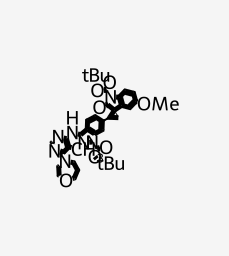 COc1ccc2c(c1)[C@]1(C[C@H]1c1ccc3c(Nc4ncnc(N5CCCOCC5)c4C)nn(C(=O)OC(C)(C)C)c3c1)C(=O)N2C(=O)OC(C)(C)C